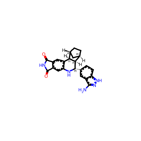 Nc1n[nH]c2ccc([C@@H]3Nc4cc5c(cc4[C@H]4[C@@H]6CC[C@H](C6)[C@H]43)C(=O)NC5=O)cc12